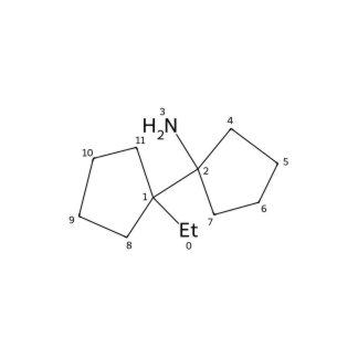 CCC1(C2(N)CCCC2)CCCC1